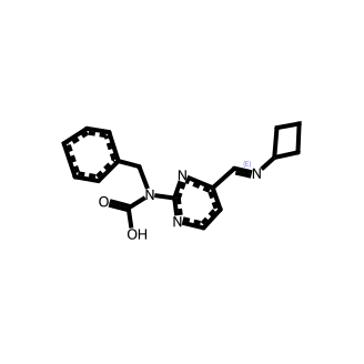 O=C(O)N(Cc1ccccc1)c1nccc(/C=N/C2CCC2)n1